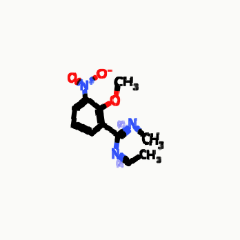 C/C=N\C(=N/C)c1cccc([N+](=O)[O-])c1OC